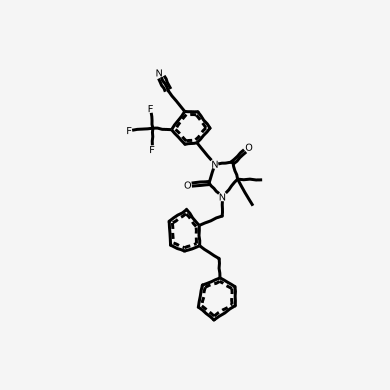 CC1(C)C(=O)N(c2ccc(C#N)c(C(F)(F)F)c2)C(=O)N1Cc1ccccc1Cc1ccccc1